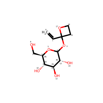 C=CC1(OC2O[C@H](CO)[C@@H](O)[C@H](O)[C@H]2O)CCO1